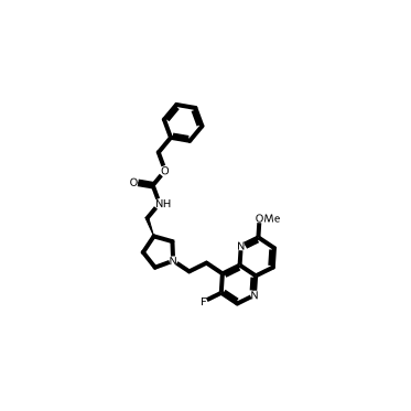 COc1ccc2ncc(F)c(CCN3CC[C@@H](CNC(=O)OCc4ccccc4)C3)c2n1